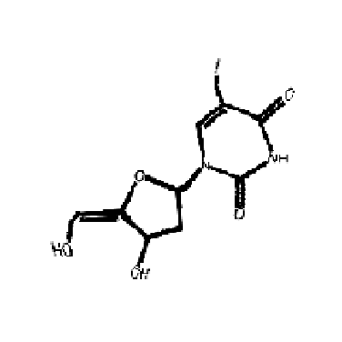 O=c1[nH]c(=O)n(C2CC(O)/C(=C\O)O2)cc1I